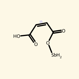 O=C(O)/C=C\C(=O)[O][SbH2]